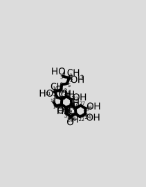 C[C@@](O)(CO)CC[C@@H](O)[C@](C)(O)[C@H]1CC[C@@]2(O)C3=CC(=O)[C@@H]4C[C@@H](O)[C@@H](O)C[C@]4(C)[C@H]3[C@H](O)C[C@]12C